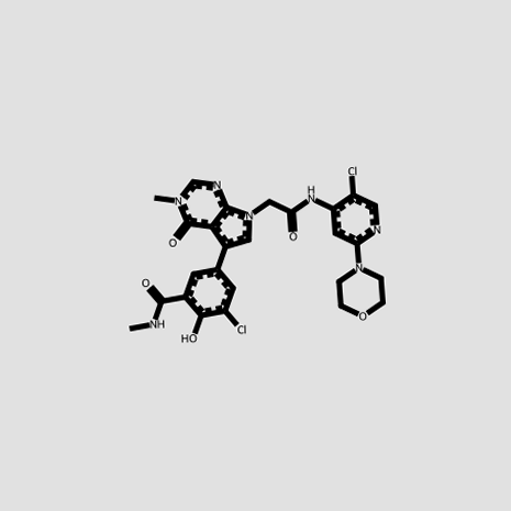 CNC(=O)c1cc(-c2cn(CC(=O)Nc3cc(N4CCOCC4)ncc3Cl)c3ncn(C)c(=O)c23)cc(Cl)c1O